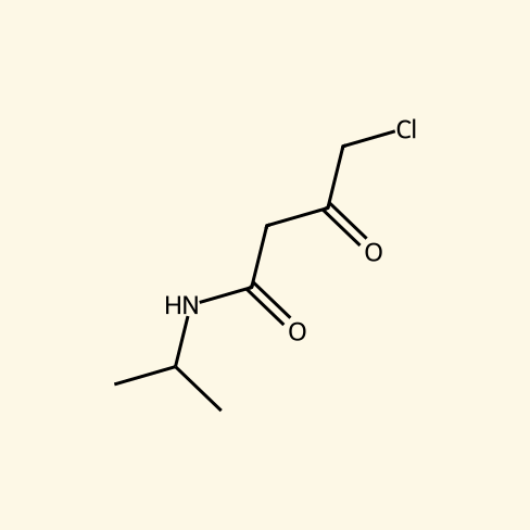 CC(C)NC(=O)CC(=O)CCl